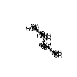 N=C(NCCCC(NC(=O)CCCCCON(O)O)C(=O)O)NC(=O)CCCCCON(O)O